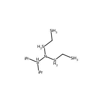 CC(C)[SiH](C(C)C)N([SiH2]C[SiH3])[SiH2]C[SiH3]